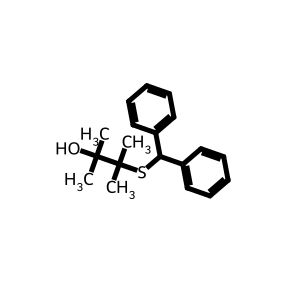 CC(C)(O)C(C)(C)SC(c1ccccc1)c1ccccc1